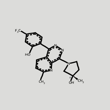 Cc1ccc2c(-c3ccc(C(F)(F)F)cc3O)nnc(N3CC[C@](C)(O)C3)c2n1